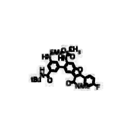 CNC(=O)c1c(-c2ccc(F)cc2)oc2cc(NS(C)(=O)=O)c(-c3cc(NSC)cc(C(=O)NC(C)(C)C)c3)cc12